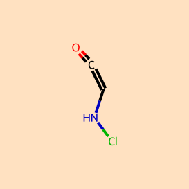 O=C=CNCl